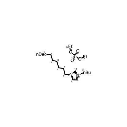 CCCCCCCCCCCCCCCCn1cc[n+](CCCC)c1.CCOP(=O)([O-])OCC